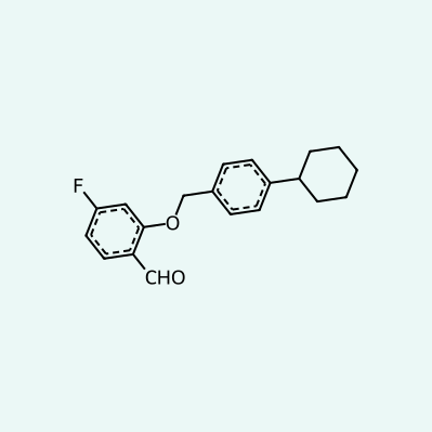 O=Cc1ccc(F)cc1OCc1ccc(C2CCCCC2)cc1